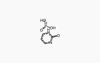 O=[PH](O)O.O=c1nccc[nH]1